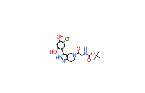 CC(C)(C)OC(=O)NCC(=O)N1CCc2n[nH]c(-c3cc(Cl)c(O)cc3O)c2C1